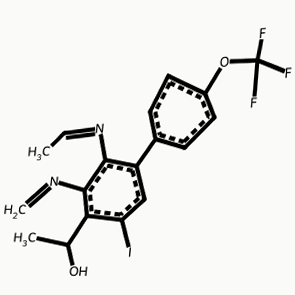 C=Nc1c(/N=C\C)c(-c2ccc(OC(F)(F)F)cc2)cc(I)c1C(C)O